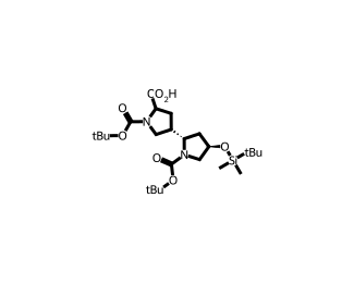 CC(C)(C)OC(=O)N1CC([C@@H]2C[C@@H](O[Si](C)(C)C(C)(C)C)CN2C(=O)OC(C)(C)C)CC1C(=O)O